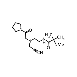 C#CCN(CCNC(=O)C(C)(C)NC)CC(=O)N1CCCC1